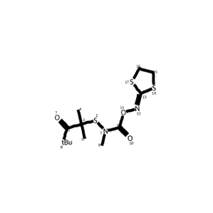 CN(SC(C)(C)C(=O)C(C)(C)C)C(=O)ON=C1SCCS1